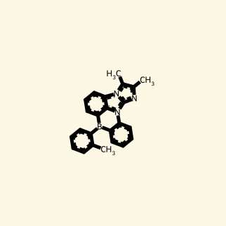 Cc1ccccc1B1c2ccccc2-n2c3c1cccc3n1c(C)c(C)nc21